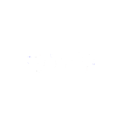 CC1(c2cn[nH]c2)Oc2ccc(-c3ccc4c(c3)C(=O)NCC4)cc2NC1=O